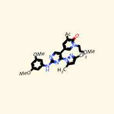 COCCn1cc(-c2cnc(Nc3cc(OC)cc(OC)c3)nc2-n2nc(C(F)(F)F)cc2C)cc(C(C)=O)c1=O